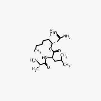 CCCC[C@H](C)[C@H](CC(N)=O)OC(=O)[C@@H](CC(C)C)NC(=O)[C@H](C)N